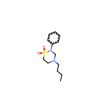 CCCCN1CCS(=O)(=O)N(c2ccccc2)C1